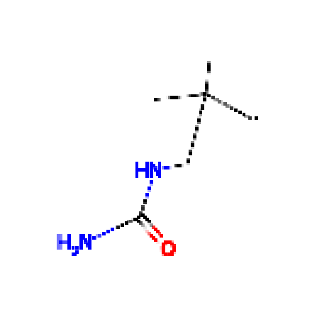 [CH2]C(C)(C)CNC(N)=O